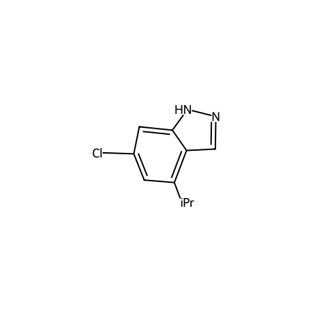 CC(C)c1cc(Cl)cc2[nH]ncc12